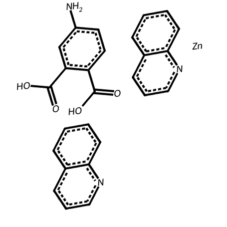 Nc1ccc(C(=O)O)c(C(=O)O)c1.[Zn].c1ccc2ncccc2c1.c1ccc2ncccc2c1